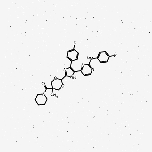 CC1(C(=O)N2CCCCC2)COC(c2nc(-c3ccc(F)cc3)c(-c3ccnc(Nc4ccc(F)cc4)n3)[nH]2)OC1